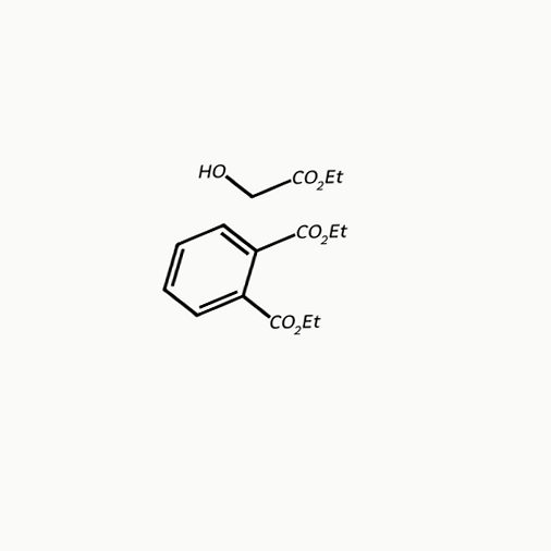 CCOC(=O)CO.CCOC(=O)c1ccccc1C(=O)OCC